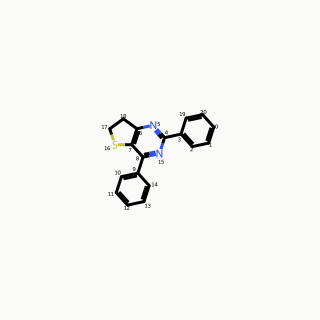 c1ccc(-c2nc3c(c(-c4ccccc4)n2)SCC3)cc1